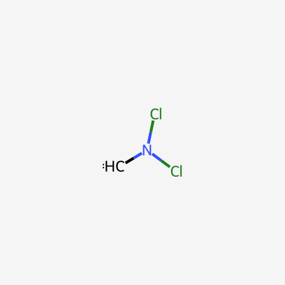 [CH]N(Cl)Cl